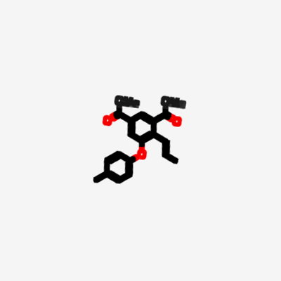 C/C=C/c1c(Oc2ccc(C)cc2)cc(C(=O)OC)cc1C(=O)OC